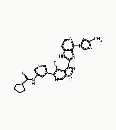 Cc1cn(-c2nccc3[nH]c(-c4n[nH]c5cnc(-c6cncc(NC(=O)C7CCCC7)c6)c(F)c45)nc23)cn1